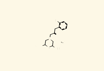 CC1CN(CC(=O)Cc2ccccc2F)CC(C)N1.Cl.Cl